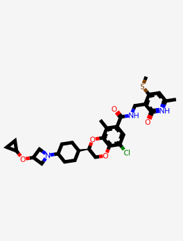 CSc1cc(C)[nH]c(=O)c1CNC(=O)c1cc(Cl)c2c(c1C)O[C@H](C1CCC(N3CC(OC4CC4)C3)CC1)CO2